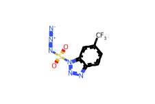 [N-]=[N+]=NS(=O)(=O)n1nnc2ccc(C(F)(F)F)cc21